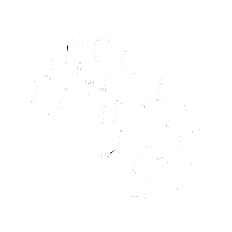 CC(C)[C@H](NC(=O)[C@@H](NC(=O)[C@@H]1CCCN1C(=O)[C@@H](N)CCCCN)C(C)C)C(=O)N[C@@H](C)C(=O)N[C@@H](CCC(=O)O)C(=O)N[C@@H](Cc1ccccc1)C(=O)O